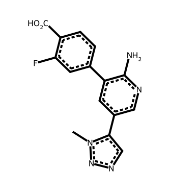 Cn1nncc1-c1cnc(N)c(-c2ccc(C(=O)O)c(F)c2)c1